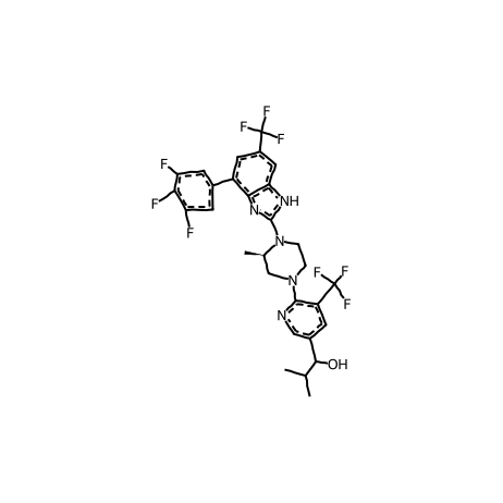 CC(C)C(O)c1cnc(N2CCN(c3nc4c(-c5cc(F)c(F)c(F)c5)cc(C(F)(F)F)cc4[nH]3)[C@H](C)C2)c(C(F)(F)F)c1